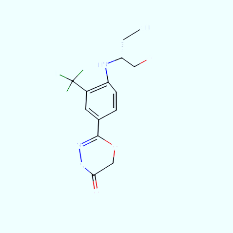 CC[C@H](CO)Nc1ccc(C2=NNC(=O)CO2)cc1C(F)(F)F